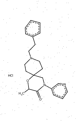 CC1OC2(CCN(CCc3ccccc3)CC2)CN(c2cccnc2)C1=O.Cl